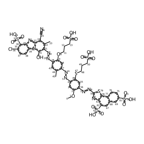 COc1cc(N=Nc2cc(OCCCS(=O)(=O)O)c(N=Nc3c(C)c(C#N)c4nc5c(S(=O)(=O)O)c(Cl)ccc5n4c3O)cc2C)c(SCCCS(=O)(=O)O)cc1N=Nc1nc2c(S(=O)(=O)O)cc3cc(S(=O)(=O)O)ccc3c2s1